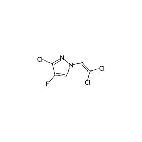 Fc1cn(C=C(Cl)Cl)nc1Cl